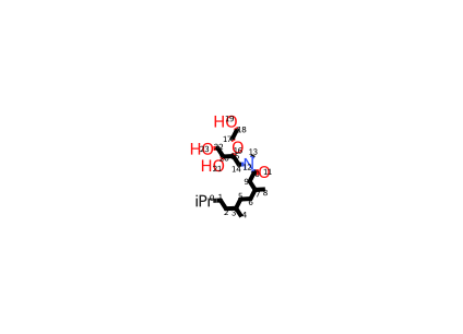 CC(C)CCC(C)CCC(C)CC(=O)N(C)CC(OCCO)C(O)CO